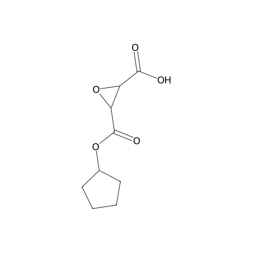 O=C(O)C1OC1C(=O)OC1CCCC1